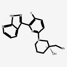 CC(C)C[C@@]1(O)CCCN(c2ccc(F)c(-c3n[nH]c4ncccc34)n2)C1